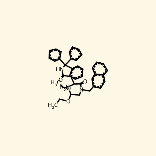 CCOC(CN(Cc1ccc2ccccc2c1)C(=O)C(N)CC(=O)NC(c1ccccc1)(c1ccccc1)c1ccccc1)OCC